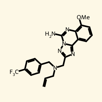 C=CCN(Cc1ccc(C(F)(F)F)cc1)Cc1nc2c3cccc(OC)c3nc(N)n2n1